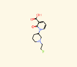 O=C(O)c1cccn([C@@H]2CCCN(CCF)C2)c1=O